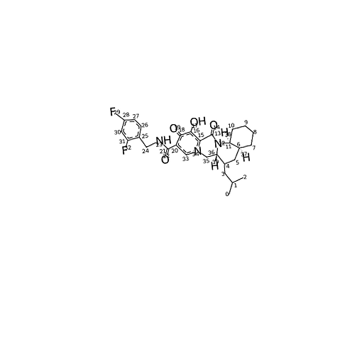 CC(C)CC1C[C@@H]2CCCC[C@@H]2N2C(=O)c3c(O)c(=O)c(C(=O)NCc4ccc(F)cc4F)cn3C[C@@H]12